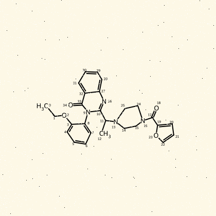 CCOc1ccccc1-n1c(C(C)N2CCN(C(=O)c3ccco3)CC2)nc2ccccc2c1=O